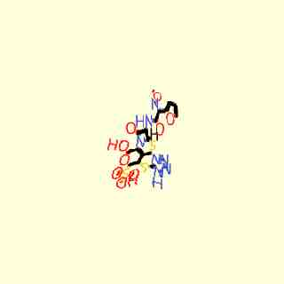 CON=C(C(=O)NC1C(=O)N2C(C(=O)O)=C(C(CS(=O)(=O)O)Sc3nnn[nH]3)CS[C@@H]12)c1ccco1